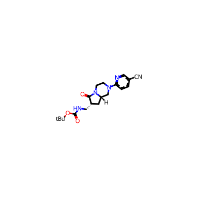 CC(C)(C)OC(=O)NC[C@H]1C[C@H]2CN(c3ccc(C#N)cn3)CCN2C1=O